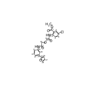 COC(=O)c1cc(Cl)ccc1NC(=O)COCC(=O)Nc1cccc(-c2ccco2)c1